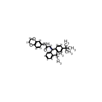 CC(C)c1ccccc1/C(=C\C(=O)Nc1ccc2c(c1)OCCO2)c1ccc(C(C)(C)C)cc1